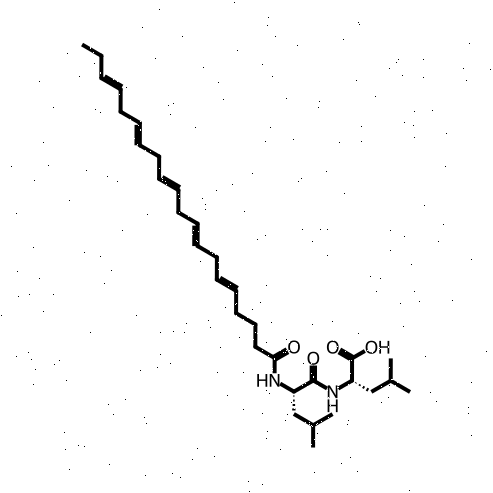 CCC=CCC=CCC=CCC=CCC=CCCCC(=O)N[C@@H](CC(C)C)C(=O)N[C@@H](CC(C)C)C(=O)O